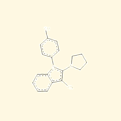 N#Cc1c(N2CCCC2)n(-c2ccc(O)cc2)c2ccccc12